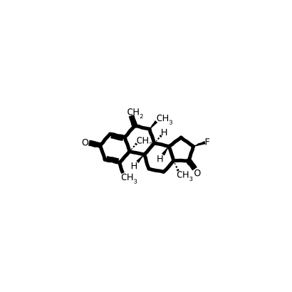 C=C1C2=CC(=O)C=C(C)[C@]2(C)[C@H]2CC[C@]3(C)C(=O)[C@H](F)C[C@H]3[C@@H]2[C@@H]1C